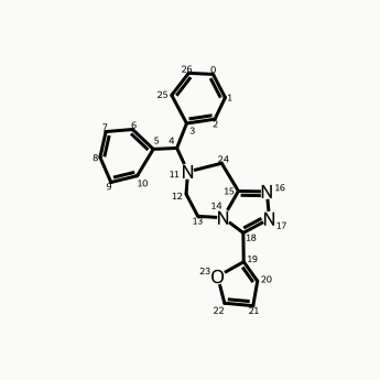 c1ccc(C(c2ccccc2)N2CCn3c(nnc3-c3ccco3)C2)cc1